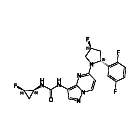 O=C(Nc1cnn2ccc(N3C[C@@H](F)C[C@@H]3c3cc(F)ccc3F)nc12)N[C@H]1C[C@H]1F